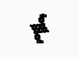 CCCCc1ccc(C(=O)O/C(=C(/OC(=O)c2ccc(CCCC)cc2)c2c(C)cc(C)cc2C)c2c(C)cc(C)cc2C)cc1